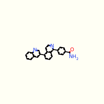 NC(=O)c1ccc(-c2nccc3c(-c4cnc5ccccc5c4)cccc23)cc1